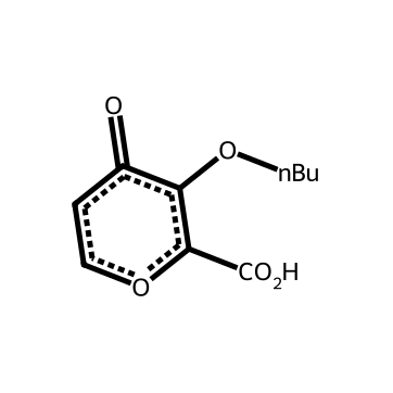 CCCCOc1c(C(=O)O)occc1=O